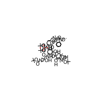 CN(C(=O)OC(C)(C)C)[C@@H]1[C@@H](O)[C@@H](O[C@@H]2[C@@H](O)[C@H](O[C@H]3OC(CN(C)S(=O)(=O)c4ccccc4[N+](=O)[O-])=CC[C@H]3NC(=O)OC(C)(C)C)[C@@H](NC(=O)OC(C)(C)C)C[C@H]2NC(=O)C2(O)CN(C(=O)OC(C)(C)C)C2)OC[C@]1(C)O